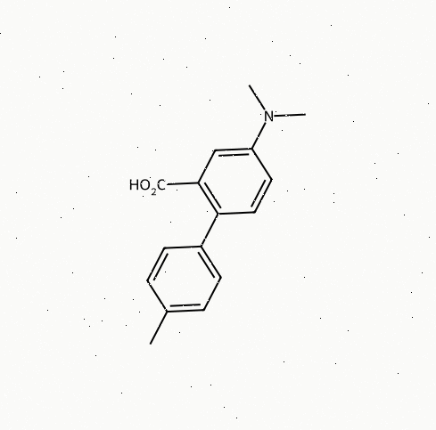 Cc1ccc(-c2ccc(N(C)C)cc2C(=O)O)cc1